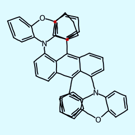 C1=CC2=C(CC1)Oc1ccccc1N2c1cccc2c(-c3ccccc3)c3c(N4c5ccccc5Oc5ccccc54)cccc3c(-c3ccccc3)c12